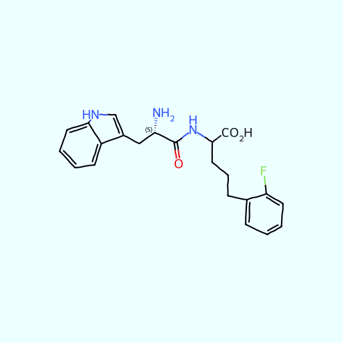 N[C@@H](Cc1c[nH]c2ccccc12)C(=O)NC(CCCc1ccccc1F)C(=O)O